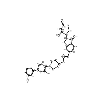 Cc1cc(-c2cccc(Cl)c2)cnc1N1CCC(CNCc2ccc3c(c2)CN(C2CCC(=O)NC2=O)C3=O)CC1